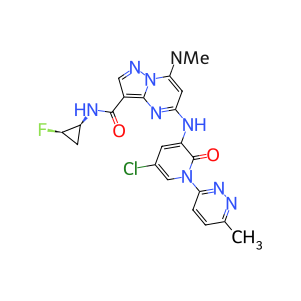 CNc1cc(Nc2cc(Cl)cn(-c3ccc(C)nn3)c2=O)nc2c(C(=O)N[C@H]3C[C@H]3F)cnn12